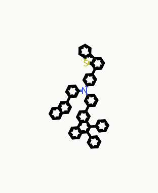 c1ccc(-c2c(-c3ccccc3)c3cc(-c4cccc(N(c5ccc(-c6cccc7c6sc6ccccc67)cc5)c5cccc(-c6ccc7ccccc7c6)c5)c4)ccc3c3ccccc23)cc1